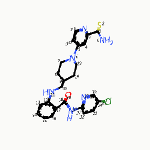 NC(=S)c1cc(N2CCC(CNc3ccccc3C(=O)Nc3ccc(Cl)cn3)CC2)ccn1